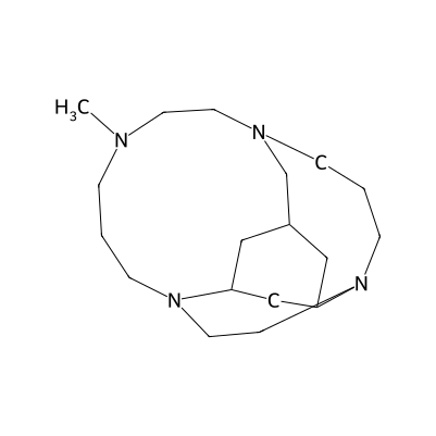 CN1CCCN2CCN3CCCN(CC1)CC1CC2CC3C1